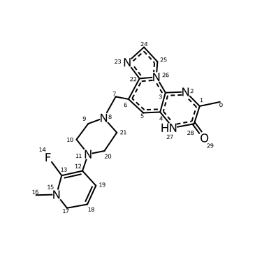 Cc1nc2c(cc(CN3CCN(C4=C(F)N(C)CC=C4)CC3)c3nccn32)[nH]c1=O